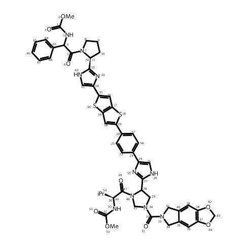 COC(=O)NC(C(=O)N1CCC[C@H]1c1nc(-c2cc3sc(-c4ccc(-c5c[nH]c(C6CN(C(=O)N7Cc8cc9c(cc8C7)OCO9)CN6C(=O)[C@@H](NC(=O)OC)C(C)C)n5)cc4)cc3s2)c[nH]1)c1ccccc1